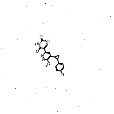 COc1nnc(-c2c[nH]c(=O)[nH]c2=O)cc1C1CC1c1ccc(Cl)cc1